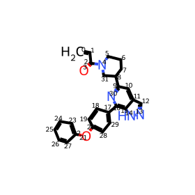 C=CC(=O)N1CCCC(c2cc3cn[nH]c3c(-c3ccc(Oc4ccccc4)cc3)n2)C1